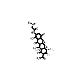 CCN(C)CC(=O)Nc1cc(F)c2c(c1O)C(=O)C1=C(O)[C@]3(O)C(=O)C(C(N)=O)=C(O)[C@@H](N)[C@@H]3C[C@@H]1C2